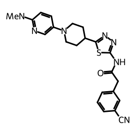 CNc1ccc(N2CCC(c3nnc(NC(=O)Cc4cccc(C#N)c4)s3)CC2)cn1